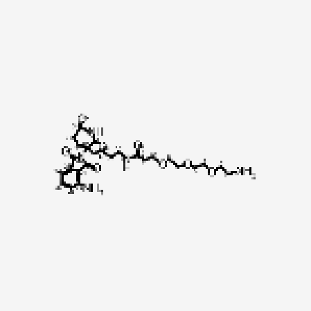 NCCOCCOCCOCCC(=O)NCCCCC1(N2C(=O)c3cccc(N)c3C2=O)CCC(=O)NC1=O